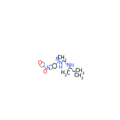 C=C/C(=C\C=C(C)C)NC/C=C\NC(N=C)c1ccc2c(c1)CN(C(=O)C1CCOCC1)C2